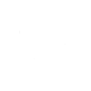 CCOc1c[c]c([N+](=O)[O-])cc1F